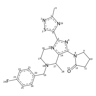 Cc1nsc(-c2nc(N3CCCC3=O)c3n2CCN(Cc2ccc(F)cc2)C3C)n1